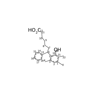 Cc1cc(C)c(C(CCCCCC(=O)O)c2ccccc2)c(O)c1C